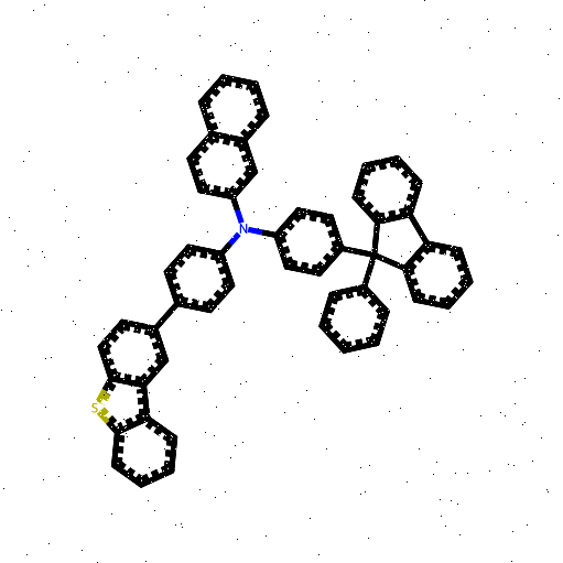 c1ccc(C2(c3ccc(N(c4ccc(-c5ccc6sc7ccccc7c6c5)cc4)c4ccc5ccccc5c4)cc3)c3ccccc3-c3ccccc32)cc1